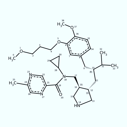 COCCCOc1cc(C[C@@H](C[C@@H]2CNC[C@H]2CN(C(=O)c2cnc(C)cn2)C2CC2)C(C)C)ccc1OC